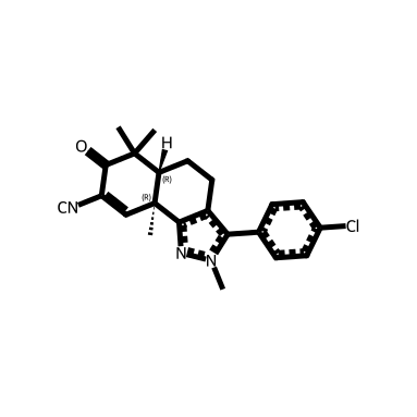 [C-]#[N+]C1=C[C@]2(C)c3nn(C)c(-c4ccc(Cl)cc4)c3CC[C@H]2C(C)(C)C1=O